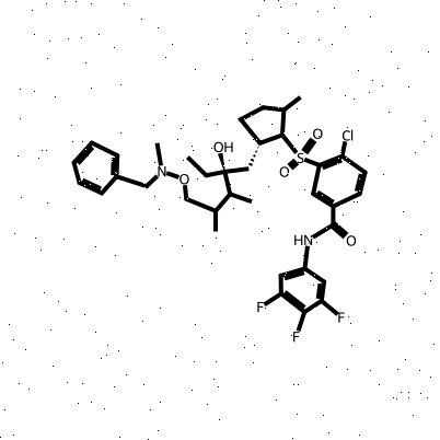 CC[C@](O)(C[C@@H]1CCC(C)C1S(=O)(=O)c1cc(C(=O)Nc2cc(F)c(F)c(F)c2)ccc1Cl)C(C)C(C)CON(C)Cc1ccccc1